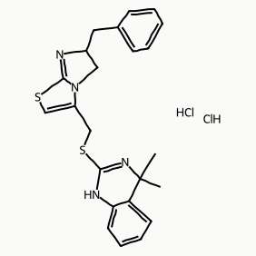 CC1(C)N=C(SCC2=CSC3=NC(Cc4ccccc4)CN23)Nc2ccccc21.Cl.Cl